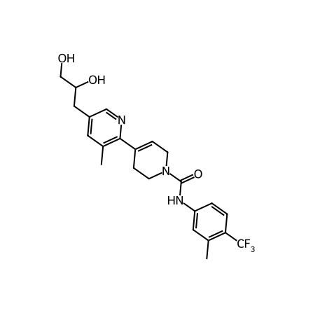 Cc1cc(NC(=O)N2CC=C(c3ncc(CC(O)CO)cc3C)CC2)ccc1C(F)(F)F